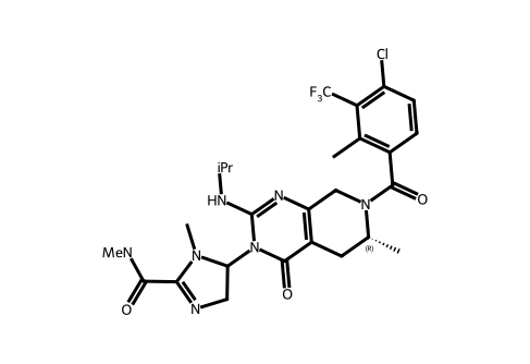 CNC(=O)C1=NCC(n2c(NC(C)C)nc3c(c2=O)C[C@@H](C)N(C(=O)c2ccc(Cl)c(C(F)(F)F)c2C)C3)N1C